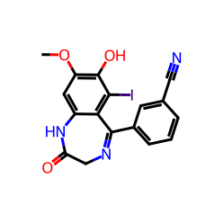 COc1cc2c(c(I)c1O)C(c1cccc(C#N)c1)=NCC(=O)N2